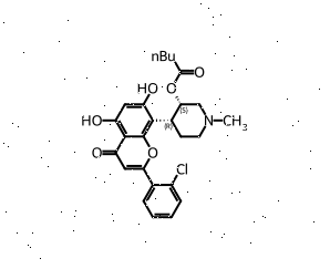 CCCCC(=O)O[C@@H]1CN(C)CC[C@@H]1c1c(O)cc(O)c2c(=O)cc(-c3ccccc3Cl)oc12